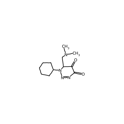 CN(C)CC1C(=O)C(=O)N=NN1C1CCCCC1